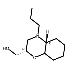 CCCN1C[C@@H](CO)OC2CCCC[C@H]21